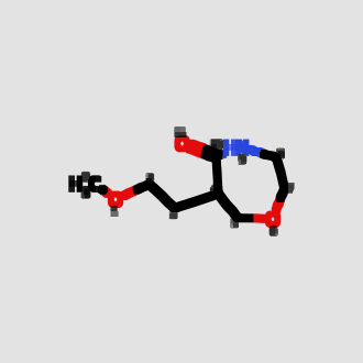 COCCC1COCCNC1=O